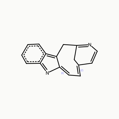 C1=C/C2=C\C=C3\N=c4ccccc4=C3CC(=N1)C2